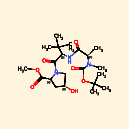 COC(=O)[C@@H]1C[C@@H](O)CN1C(=O)[C@@H](NC(=O)[C@H](C)N(C)C(=O)OC(C)(C)C)C(C)(C)C